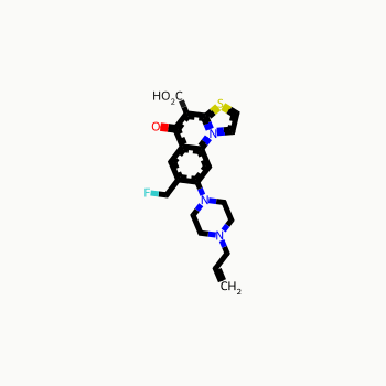 C=CCN1CCN(c2cc3c(cc2CF)c(=O)c(C(=O)O)c2sccn23)CC1